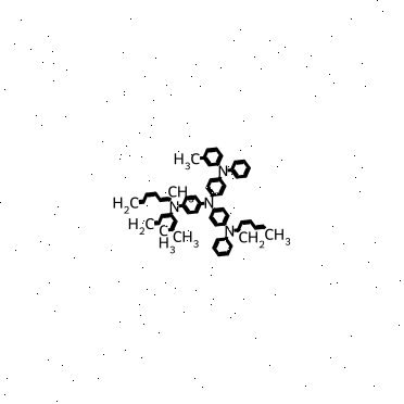 C=C/C=C\C=C(/C)N(/C(C=C(C)C)=C/C=C)c1ccc(N(c2ccc(N(c3ccccc3)c3cccc(C)c3)cc2)c2ccc(N(C(=C)/C=C\C=C\C)C3C=CC=CC3)cc2)cc1